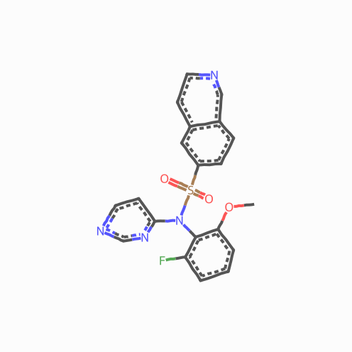 COc1cccc(F)c1N(c1ccncn1)S(=O)(=O)c1ccc2cnccc2c1